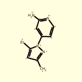 CCc1cc(C)nn1-c1ccnc(N)c1